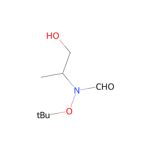 CC(CO)N(C=O)OC(C)(C)C